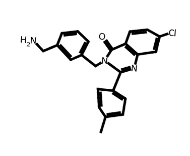 Cc1ccc(-c2nc3cc(Cl)ccc3c(=O)n2Cc2cccc(CN)c2)cc1